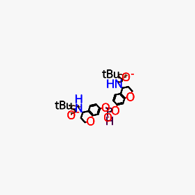 CC(C)(C)[S+]([O-])NC1CCOc2cc(O[PH](=O)Oc3ccc4c(c3)OCCC4N[S+]([O-])C(C)(C)C)ccc21